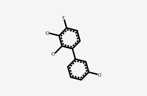 Fc1[c]cc(-c2cccc(Cl)c2)c(Cl)c1Cl